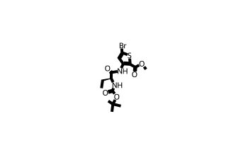 CC[C@H](NC(=O)OC(C)(C)C)C(=O)Nc1cc(Br)sc1C(=O)OC